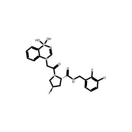 O=C(NCc1cccc(Cl)c1F)[C@@H]1C[C@@H](F)CN1C(=O)CN1C=NS(O)(O)c2ccccc21